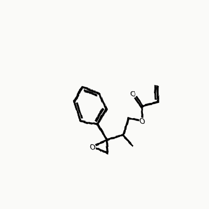 C=CC(=O)OCC(C)C1(c2ccccc2)CO1